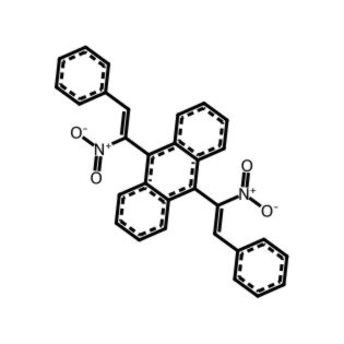 O=[N+]([O-])C(=Cc1ccccc1)c1c2ccccc2c(C(=Cc2ccccc2)[N+](=O)[O-])c2ccccc12